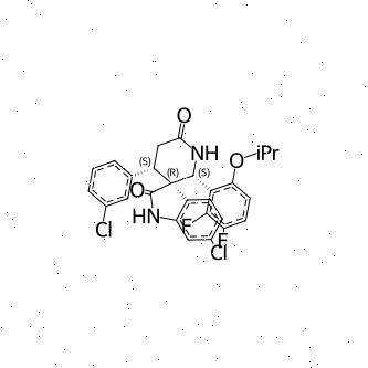 CC(C)Oc1ccc(F)c(F)c1[C@H]1NC(=O)C[C@@H](c2cccc(Cl)c2)[C@]12C(=O)Nc1cc(Cl)ccc12